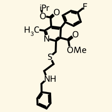 COC(=O)c1c(CSCCNCc2ccccc2)nc(C)c(C(=O)OC(C)C)c1-c1ccc(F)cc1